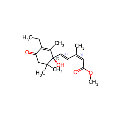 CCC1=C(C)[C@](O)(/C=C/C(C)=C\C(=O)OC)C(C)(C)CC1=O